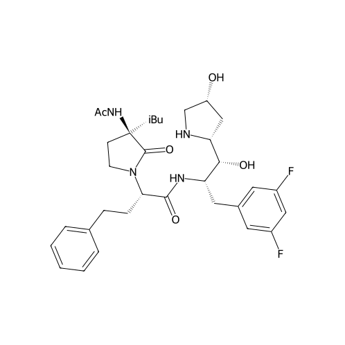 CC[C@@H](C)[C@@]1(NC(C)=O)CCN([C@@H](CCc2ccccc2)C(=O)N[C@@H](Cc2cc(F)cc(F)c2)[C@@H](O)[C@H]2C[C@@H](O)CN2)C1=O